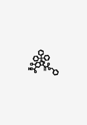 O=C(Nc1nn(C(c2ccccc2)(c2ccccc2)c2ccccc2)c2cc(Cl)c(C(=O)O)cc12)OCc1ccccc1